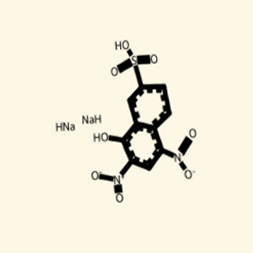 O=[N+]([O-])c1cc([N+](=O)[O-])c2ccc(S(=O)(=O)O)cc2c1O.[NaH].[NaH]